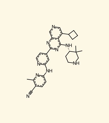 Cc1nc(Nc2cc(-c3nc(N[C@H]4CCNCC4(C)C)c4c(C5CCC5)cncc4n3)ccn2)ccc1C#N